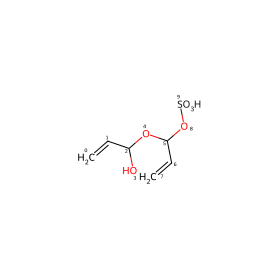 C=CC(O)OC(C=C)OS(=O)(=O)O